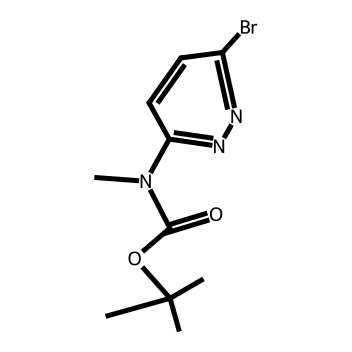 CN(C(=O)OC(C)(C)C)c1ccc(Br)nn1